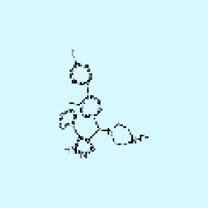 CCN1CCN(C(c2ccc(-c3ccc(F)cc3)c(C)c2)c2cn[nH]c2-c2ccco2)CC1